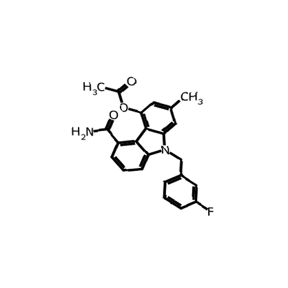 CC(=O)Oc1cc(C)cc2c1c1c(C(N)=O)cccc1n2Cc1cccc(F)c1